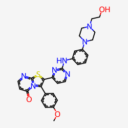 COc1ccc(-c2c(-c3ccnc(Nc4cccc(N5CCN(CCO)CC5)c4)n3)sc3nccc(=O)n23)cc1